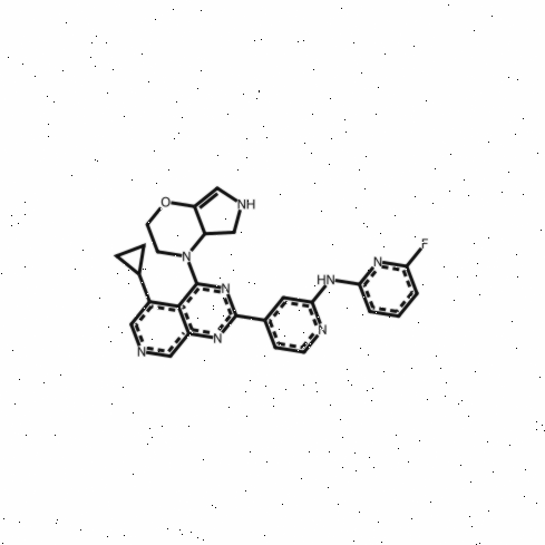 Fc1cccc(Nc2cc(-c3nc(N4CCOC5=CNCC54)c4c(C5CC5)cncc4n3)ccn2)n1